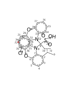 CCc1cccc2c1N(C(CC)(N1c3ccccc3Oc3ccc(Cl)cc31)S(=O)(=O)O)c1ccccc1O2